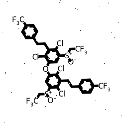 [O-][S+](CC(F)(F)F)c1cc(Oc2cc([S+]([O-])CC(F)(F)F)c(Cl)c(CCc3ccc(C(F)(F)F)cc3)c2Cl)c(Cl)c(CCc2ccc(C(F)(F)F)cc2)c1Cl